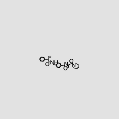 O=C(NCc1ccc(-c2nc(C(=O)N3CC=CCC3)co2)cc1)C(F)c1ccccc1